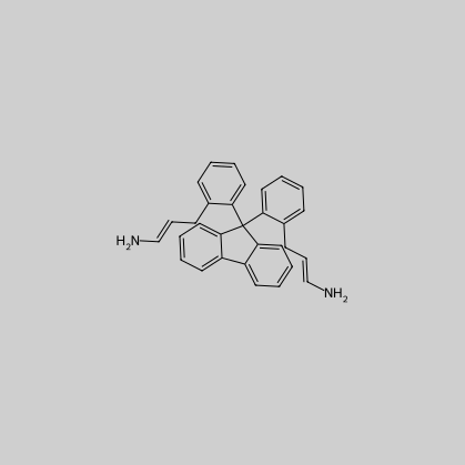 NC=CCc1ccccc1C1(c2ccccc2CC=CN)c2ccccc2-c2ccccc21